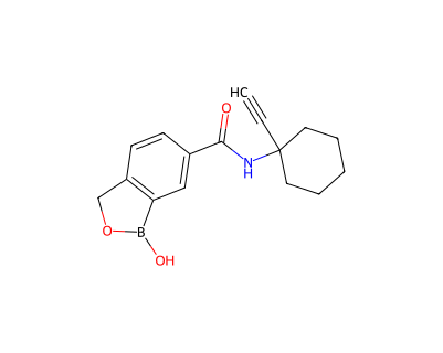 C#CC1(NC(=O)c2ccc3c(c2)B(O)OC3)CCCCC1